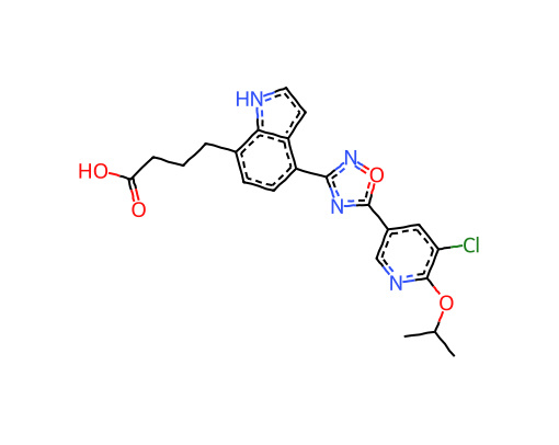 CC(C)Oc1ncc(-c2nc(-c3ccc(CCCC(=O)O)c4[nH]ccc34)no2)cc1Cl